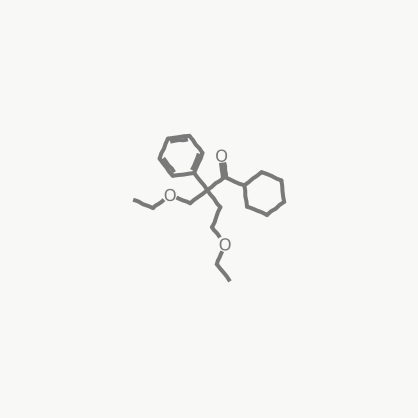 CCOCCC(COCC)(C(=O)C1CCCCC1)c1ccccc1